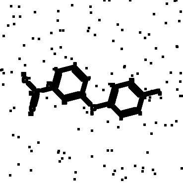 Cc1ccc(Oc2cccc([N+](=O)[O-])c2)cc1